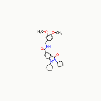 COc1ccc(CNC(=O)c2ccc3c(c2)c(=O)n(-c2ccccc2)n3C2CCCCC2)cc1OC